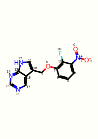 O=[N+]([O-])c1cccc(OCc2c[nH]c3ncncc23)c1F